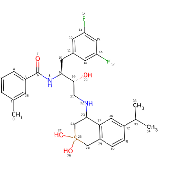 Cc1cccc(C(=O)N[C@@H](Cc2cc(F)cc(F)c2)[C@H](O)CNC2CS(O)(O)Cc3ccc(C(C)C)cc32)c1